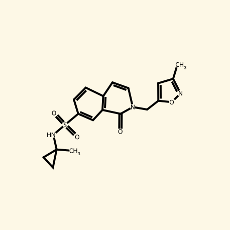 Cc1cc(Cn2ccc3ccc(S(=O)(=O)NC4(C)CC4)cc3c2=O)on1